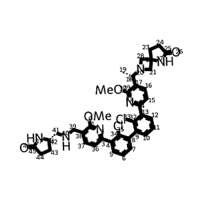 COc1nc(-c2cccc(-c3cccc(-c4ccc([C@H](C)N5CC6(CCC(=O)N6)C5)c(OC)n4)c3Cl)c2Cl)ccc1CNC[C@@H]1CCC(=O)N1